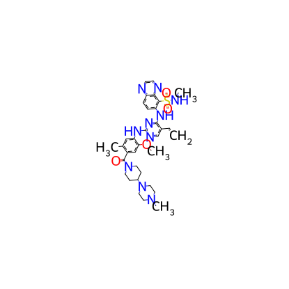 C=Cc1cnc(Nc2cc(C)c(C(=O)N3CCC(N4CCN(C)CC4)CC3)cc2OC)nc1Nc1ccc2nccnc2c1S(=O)(=O)NC